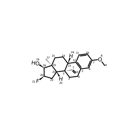 C=C[C@@]12CCc3cc(OC)ccc3[C@H]1CC[C@]1(C)[C@H](O)[C@H](F)C[C@H]12